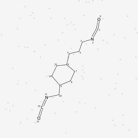 O=C=NCCCC1CCC(CN=C=O)CC1